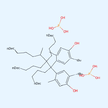 CCCCCCCCCCCCCC(C)C(CCCCCCCCCCCCC)(CCCCCCCCCCCCC)C(CCCCCCCCCCCCC)(c1cc(C(C)(C)C)c(O)cc1C)c1cc(C(C)(C)C)c(O)cc1C.OP(O)O.OP(O)O